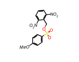 COc1ccc(S(=O)(=O)OCc2c([N+](=O)[O-])cccc2[N+](=O)[O-])cc1